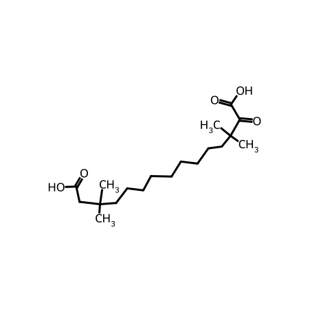 CC(C)(CCCCCCCCCC(C)(C)C(=O)C(=O)O)CC(=O)O